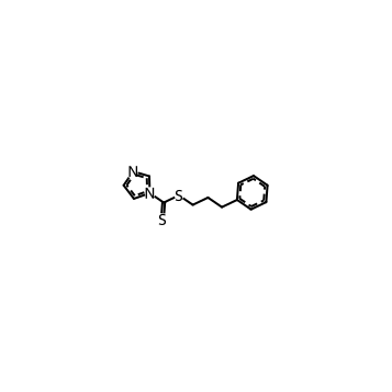 S=C(SCCCc1ccccc1)n1ccnc1